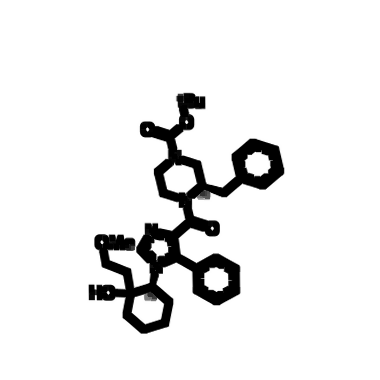 COCCC1(O)CCCC[C@@H]1n1cnc(C(=O)N2CCN(C(=O)OC(C)(C)C)C[C@H]2Cc2ccccc2)c1-c1ccccc1